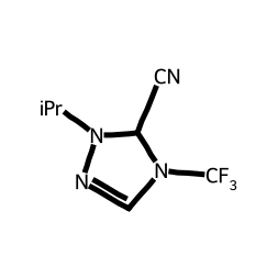 CC(C)N1N=CN(C(F)(F)F)C1C#N